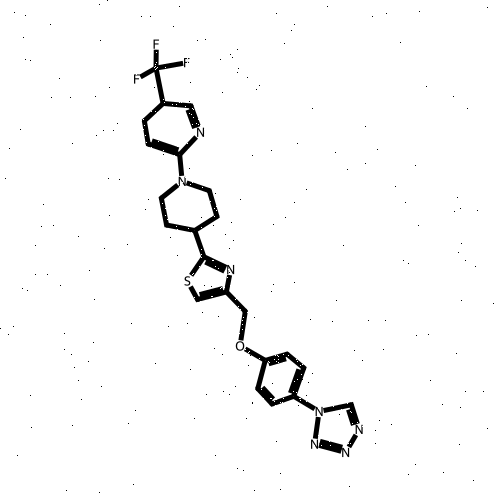 FC(F)(F)C1C=NC(N2CCC(c3nc(COc4ccc(-n5cnnn5)cc4)cs3)CC2)=CC1